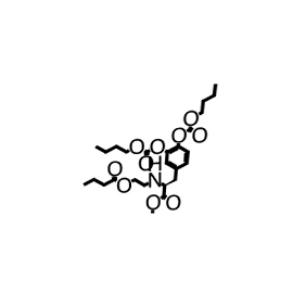 CCCCOC(=O)Oc1ccc(C[C@H](NCCOC(=O)CCC)C(=O)OC)cc1OC(=O)OCCCC